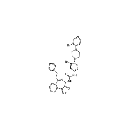 CCCN1C(=O)C(NC(=O)Nc2ccc(N3CCN(c4ccncc4Br)CC3)c(Br)c2)N=C(CCc2ccccc2)c2ccccc21